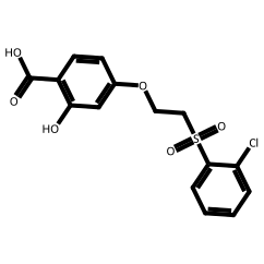 O=C(O)c1ccc(OCCS(=O)(=O)c2ccccc2Cl)cc1O